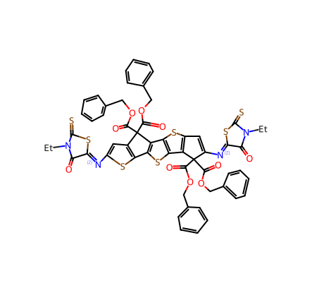 CCN1C(=O)/C(=N/C2=Cc3sc4c5c(sc4c3C2(C(=O)OCc2ccccc2)C(=O)OCc2ccccc2)-c2sc(/N=C3\SC(=S)N(CC)C3=O)cc2C5(C(=O)OCc2ccccc2)C(=O)OCc2ccccc2)SC1=S